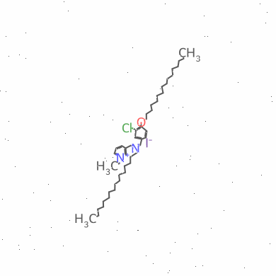 CCCCCCCCCCCCCCCCOc1ccc(CN(CCCCCCCCCCCCCCCC)Cc2ccc[n+](CC)c2)cc1Cl.[I-]